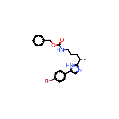 C[C@@H](CCCNC(=O)OCc1ccccc1)c1ncc(-c2ccc(Br)cc2)[nH]1